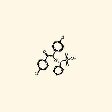 O=C(c1ccc(Cl)cc1)C(O)c1ccc(Cl)cc1.O=S(=O)(O)Cc1ccccc1